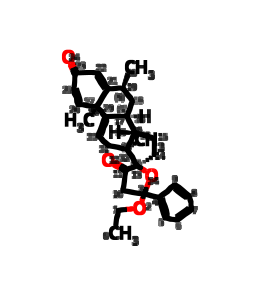 CCOC1(c2ccccc2)CC(=O)[C@]2(CC[C@H]3[C@@H]4C[C@H](C)C5=CC(=O)C=C[C@]5(C)C4=CC[C@@]32C)O1